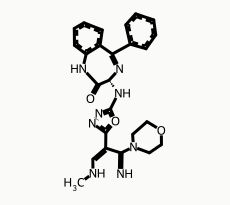 CN/C=C(\C(=N)N1CCOCC1)c1nnc(N[C@H]2N=C(c3ccccc3)c3ccccc3NC2=O)o1